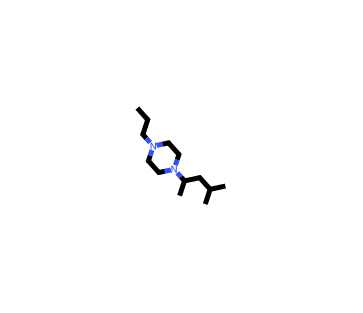 CCCN1CCN(C(C)CC(C)C)CC1